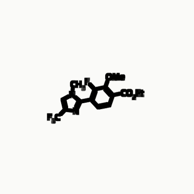 CCOC(=O)c1ccc(-c2nc(C(F)(F)F)cn2C)c(F)c1OC